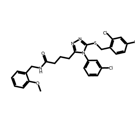 COc1ccccc1CNC(=O)CCCc1nnc(SCc2ccc(F)cc2Cl)n1-c1cccc(Cl)c1